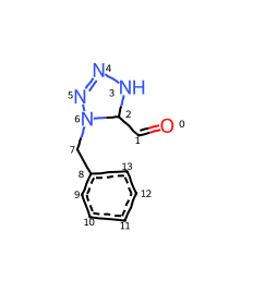 O=CC1NN=NN1Cc1ccccc1